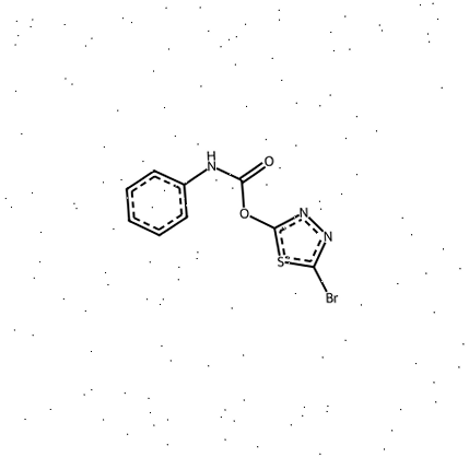 O=C(Nc1ccccc1)Oc1nnc(Br)s1